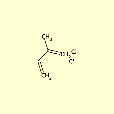 C=CC(=C)C.[C].[C]